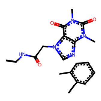 CCNC(=O)Cn1cnc2c1c(=O)n(C)c(=O)n2C.Cc1ccccc1C